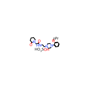 CCCOc1ccccc1N1CCN(CCNC(=O)CN2CCCCC2=O)CC1.O=S(=O)(O)O